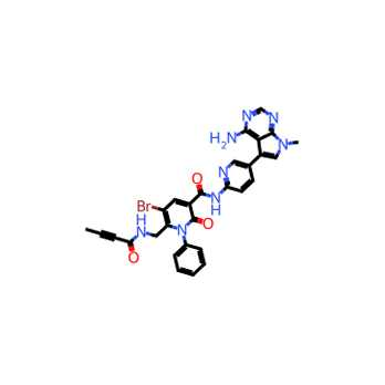 CC#CC(=O)NCc1c(Br)cc(C(=O)Nc2ccc(-c3cn(C)c4ncnc(N)c34)cn2)c(=O)n1-c1ccccc1